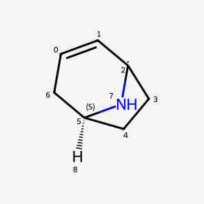 C1=C[C]2CC[C@@H](C1)N2